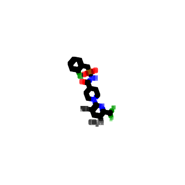 CCOC(=O)c1cc(C#N)c(N2CCC(C(=O)NS(=O)(=O)Cc3ccccc3Cl)CC2)nc1C(F)F